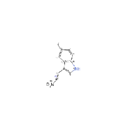 Cc1ccc2[nH]cc(/C=C/[N+](=O)[O-])c2c1